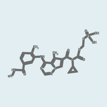 CCCNC(=O)c1ccc(C)c(Nc2ncnn3cc(C(=O)N(C(=O)OCOP(=O)(O)O)C4CC4)c(C)c23)c1